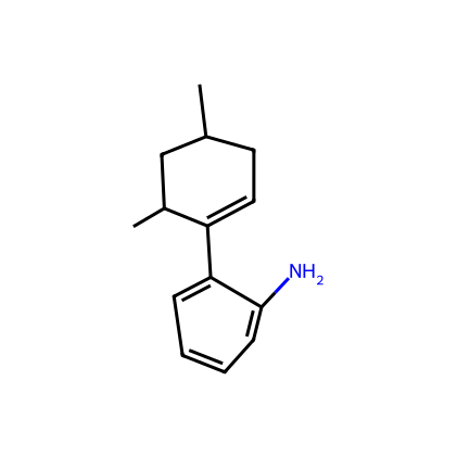 CC1CC=C(c2ccccc2N)C(C)C1